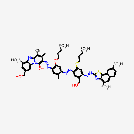 Cc1cc(N=Nc2c(C)c(C#N)c3nc4c(S(=O)(=O)O)cc(CO)cc4n3c2O)c(OCCCS(=O)(=O)O)cc1N=Nc1cc(CO)c(N=Nc2nc3c(S(=O)(=O)O)cc4ccc(S(=O)(=O)O)cc4c3s2)cc1SCCCS(=O)(=O)O